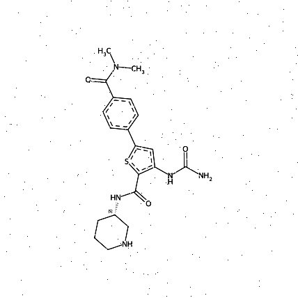 CN(C)C(=O)c1ccc(-c2cc(NC(N)=O)c(C(=O)N[C@H]3CCCNC3)s2)cc1